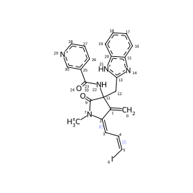 C=C1/C(=C\C=C/I)N(C)C(=O)C1(Cc1nc2ccccc2[nH]1)NC(=O)c1cccnc1